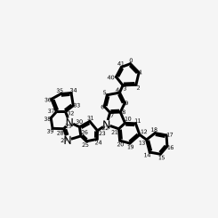 c1ccc(-c2ccc3c(c2)c2cc(-c4ccccc4)ccc2n3-c2ccc3nc4n(c3c2)-c2ccccc2CC4)cc1